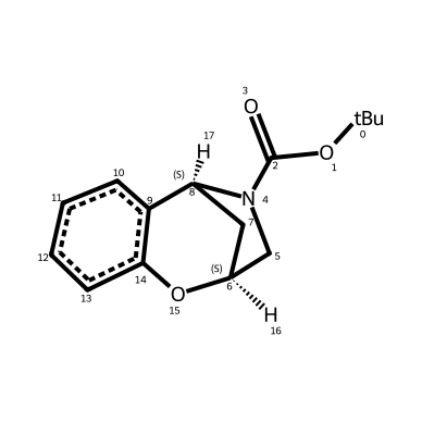 CC(C)(C)OC(=O)N1C[C@@H]2C[C@H]1c1ccccc1O2